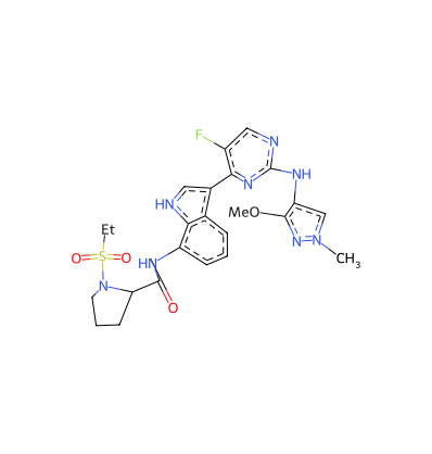 CCS(=O)(=O)N1CCCC1C(=O)Nc1cccc2c(-c3nc(Nc4cn(C)nc4OC)ncc3F)c[nH]c12